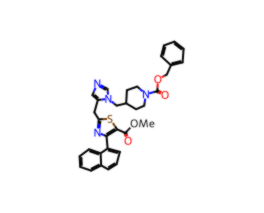 COC(=O)c1sc(Cc2cncn2CC2CCN(C(=O)OCc3ccccc3)CC2)nc1-c1cccc2ccccc12